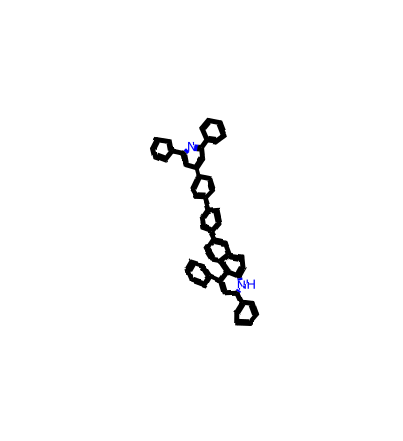 C1=C(c2ccccc2)c2c(ccc3cc(-c4ccc(-c5ccc(-c6cc(-c7ccccc7)nc(-c7ccccc7)c6)cc5)cc4)ccc23)NC1c1ccccc1